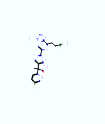 CC1(c2ccc(Cl)cn2)C(=O)Nc2nc(C3=CN4NCN=C4C(CCC(F)(F)C(F)(F)F)=N3)ncc21